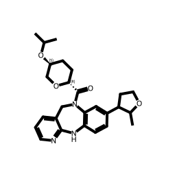 CC(C)O[C@H]1CC[C@H](C(=O)N2Cc3cccnc3Nc3ccc(C4CCOC4C)cc32)OC1